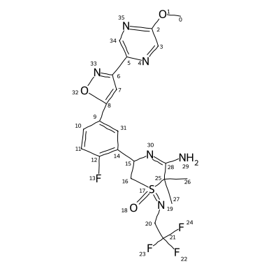 COc1cnc(-c2cc(-c3ccc(F)c(C4CS(=O)(=NCC(F)(F)F)C(C)(C)C(N)=N4)c3)on2)cn1